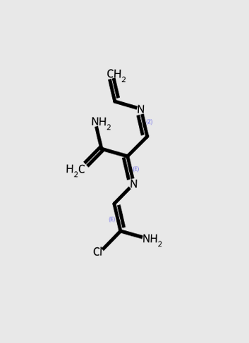 C=C\N=C/C(=N/C=C(\N)Cl)C(=C)N